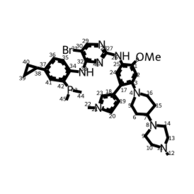 COc1cc(N2CCC(N3CCN(C)CC3)CC2)c(-c2ccn(C)c2)cc1Nc1ncc(Br)c(Nc2ccc(C3CC3)cc2P(C)C)n1